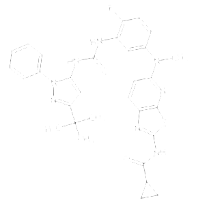 CN(c1ccc(F)c(NC(=O)Nc2cc(C(C)(C)C)nn2-c2ccccc2)c1)c1ccc2nc(NC(=O)C3CC3)sc2n1